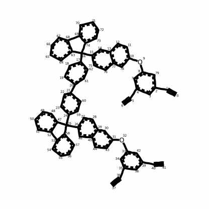 C#Cc1cc(C#C)cc(Oc2ccc3cc(C4(c5ccc(-c6ccc(C7(c8ccc9cc(Oc%10cc(C#C)cc(C#C)c%10)ccc9c8)c8ccccc8-c8ccccc87)cc6)cc5)c5ccccc5-c5ccccc54)ccc3c2)c1